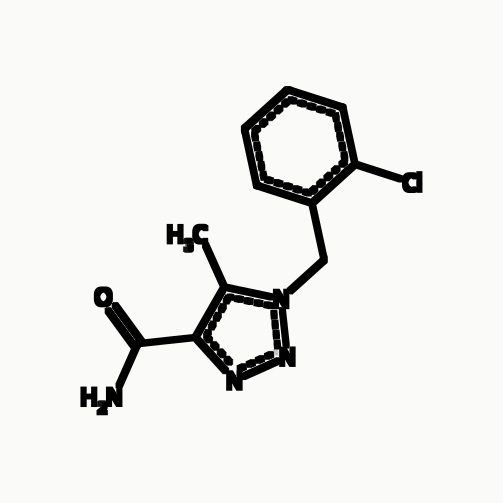 Cc1c(C(N)=O)nnn1Cc1ccccc1Cl